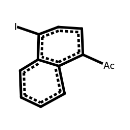 CC(=O)c1ccc(I)c2ccccc12